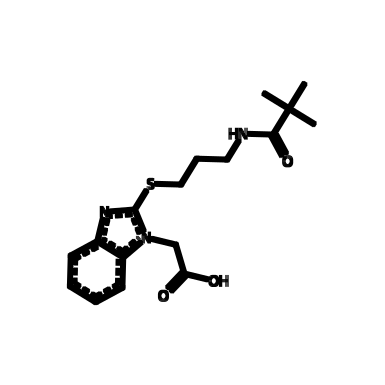 CC(C)(C)C(=O)NCCCSc1nc2ccccc2n1CC(=O)O